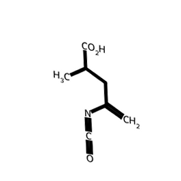 C=C(CC(C)C(=O)O)N=C=O